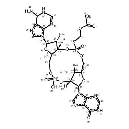 CC(C)(C)C(=O)OCSP1(=O)OC[C@H]2O[C@@H](n3cnc4c(=O)[nH]cnc43)[C@H](OP(=O)(O)OC[C@H]3O[C@@H](n4cnc5c4N=CNC5N)[C@H](F)[C@@H]3O1)[C@H]2F